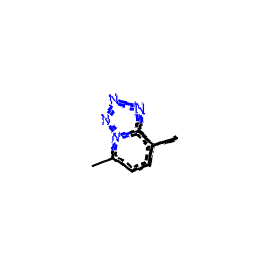 Cc1ccc(C)n2nnnc12